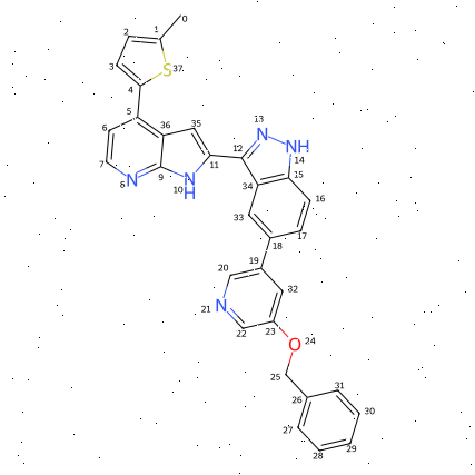 Cc1ccc(-c2ccnc3[nH]c(-c4n[nH]c5ccc(-c6cncc(OCc7ccccc7)c6)cc45)cc23)s1